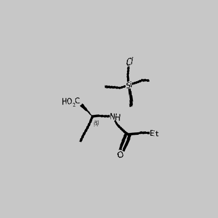 CCC(=O)N[C@@H](C)C(=O)O.C[Si](C)(C)Cl